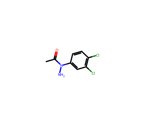 CC(=O)N(N)c1ccc(Cl)c(Cl)c1